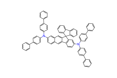 c1ccc(-c2ccc(N(c3ccc(-c4ccccc4)cc3)c3ccc4c(c3)C3(c5ccccc5-c5ccccc53)c3cc5cc(N(c6ccc(-c7ccccc7)cc6)c6ccc(-c7ccccc7)cc6)ccc5cc3-4)cc2)cc1